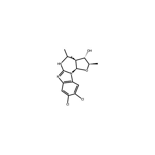 CC(C)Nc1nc2cc(Cl)c(Cl)cc2n1[C@@H]1O[C@H](C)[C@@H](O)[C@@H]1F